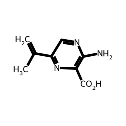 C=C(C)c1cnc(N)c(C(=O)O)n1